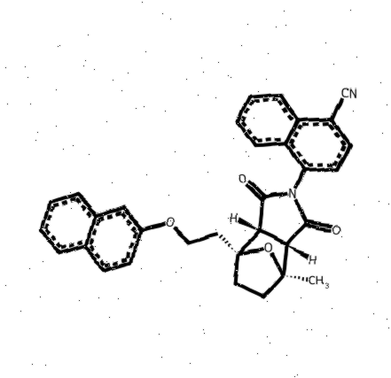 C[C@]12CC[C@](CCOc3ccc4ccccc4c3)(O1)[C@@H]1C(=O)N(c3ccc(C#N)c4ccccc34)C(=O)[C@@H]12